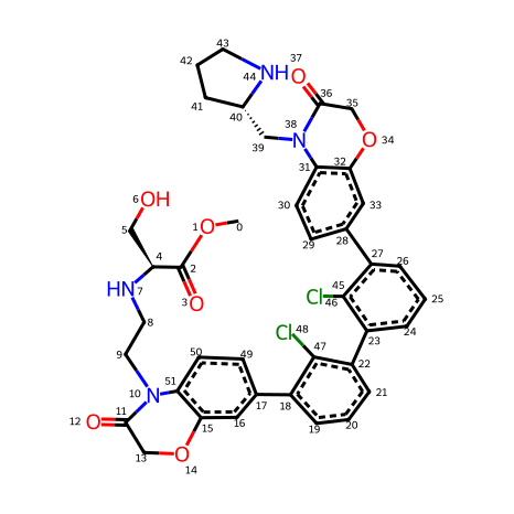 COC(=O)[C@H](CO)NCCN1C(=O)COc2cc(-c3cccc(-c4cccc(-c5ccc6c(c5)OCC(=O)N6C[C@@H]5CCCN5)c4Cl)c3Cl)ccc21